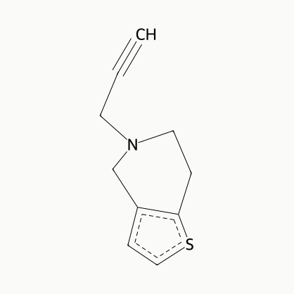 C#CCN1CCc2sccc2C1